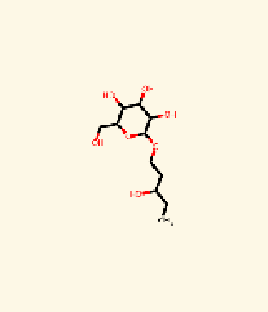 CCC(O)CCOC1OC(CO)C(O)C(O)C1O